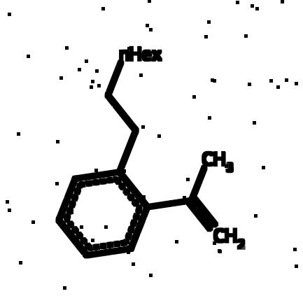 C=C(C)c1ccccc1CCCCCCCC